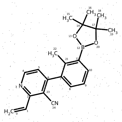 C=Cc1nccc(-c2cccc(B3OC(C)(C)C(C)(C)O3)c2C)c1C#N